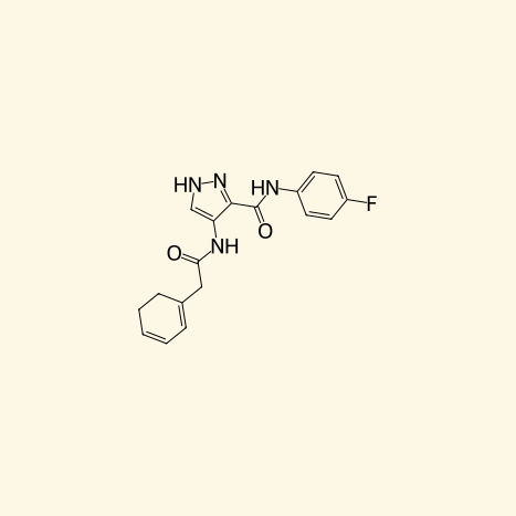 O=C(CC1=CC=CCC1)Nc1c[nH]nc1C(=O)Nc1ccc(F)cc1